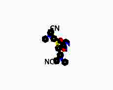 N#Cc1ccc2c(c1)c1cc(-c3ccc4c(c3)C3(c5cccnc5-c5ncccc53)c3cccc(-c5ccc6c(c5)c5cc(C#N)ccc5n6-c5ccccc5)c3S4)ccc1n2-c1ccccc1